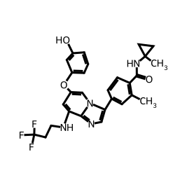 Cc1cc(-c2cnc3c(NCCC(F)(F)F)cc(Oc4cccc(O)c4)cn23)ccc1C(=O)NC1(C)CC1